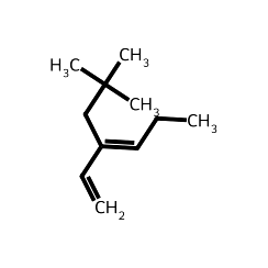 C=CC(=CCC)CC(C)(C)C